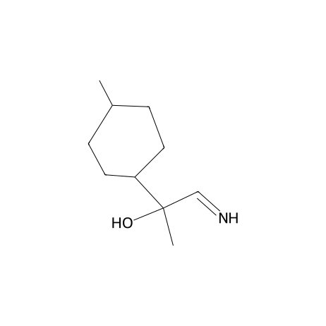 CC1CCC(C(C)(O)C=N)CC1